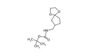 CC(C)(C)OC(=O)NCC1CCC2(C1)OCCO2